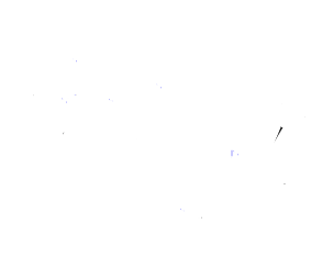 Cn1c(=O)c2c(c3cc(Nc4nc(N5C6CCC5COC6)ncc4F)ccc31)N[C@@H](C1CC1)C(F)(F)CO2